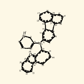 C1=CNCC(N(c2ccc3c(c2)-c2cccc4cccc-3c24)c2cccc3c2oc2ccccc23)=C1